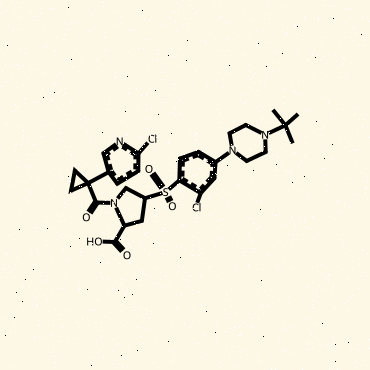 CC(C)(C)N1CCN(c2ccc(S(=O)(=O)C3CC(C(=O)O)N(C(=O)C4(c5ccc(Cl)nc5)CC4)C3)c(Cl)c2)CC1